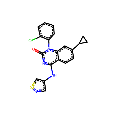 O=c1nc(Nc2cnsc2)c2ccc(C3CC3)cc2n1-c1ccccc1Cl